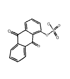 O=C1c2ccccc2C(=O)c2c(OS(=O)(=O)Cl)cccc21